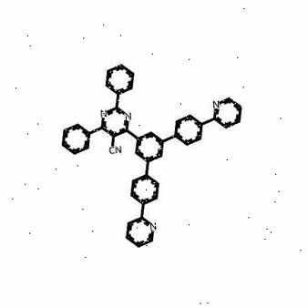 N#Cc1c(-c2ccccc2)nc(-c2ccccc2)nc1-c1cc(-c2ccc(-c3ccccn3)cc2)cc(-c2ccc(-c3ccccn3)cc2)c1